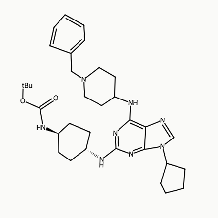 CC(C)(C)OC(=O)N[C@H]1CC[C@H](Nc2nc(NC3CCN(Cc4ccccc4)CC3)c3ncn(C4CCCC4)c3n2)CC1